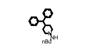 CCCCNN1CCC(C(c2ccccc2)c2ccccc2)CC1